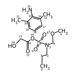 CCCN(COC)S(=O)(=O)OC(=O)CO.Cc1cccc(C)c1N